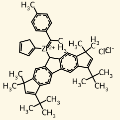 C/[C](c1ccc(C)cc1)=[Zr+2](/[C]1=CC=CC1)[CH]1c2cc3c(cc2-c2cc4c(cc21)C(C)(C)C=C4C(C)(C)C)C(C(C)(C)C)=CC3(C)C.[Cl-].[Cl-]